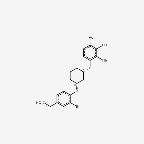 CCCc1c(O[C@H]2CCC[C@H](Oc3ccc(CC(=O)O)cc3Br)C2)ccc(C(C)=O)c1O